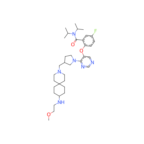 COCCNC1CCC2(CC1)CCN(CC1CCN(c3ncncc3Oc3ccc(F)cc3C(=O)N(C(C)C)C(C)C)C1)CC2